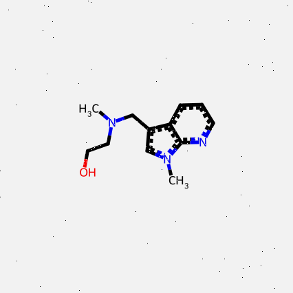 CN(CCO)Cc1cn(C)c2ncccc12